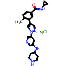 Cc1ccc(C(=O)NC2CC2)cc1-c1cnn(-c2cncc(NC3CCNCC3)c2)c1.Cl